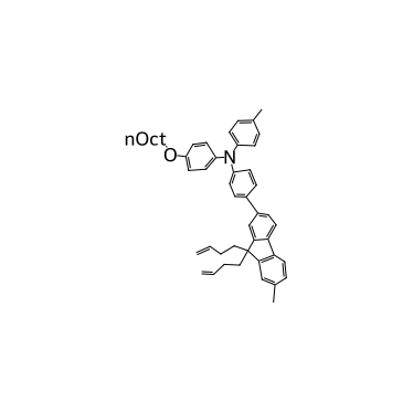 C=CCCC1(CCC=C)c2cc(C)ccc2-c2ccc(-c3ccc(N(c4ccc(C)cc4)c4ccc(OCCCCCCCC)cc4)cc3)cc21